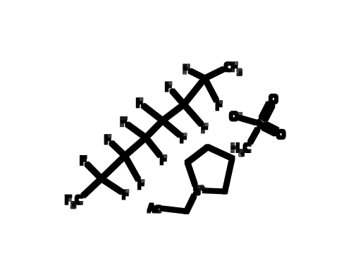 CC(=O)C[S+]1CCCC1.CS(=O)(=O)[O-].FC(F)(F)C(F)(F)C(F)(F)C(F)(F)C(F)(F)C(F)(F)C(F)(F)C(F)(F)F